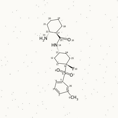 Cc1cccc(S(=O)(=O)[C@]2(F)CC[C@H](NC(=O)[C@@H]3CCCC[C@H]3N)CC2)c1